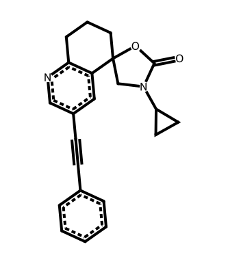 O=C1OC2(CCCc3ncc(C#Cc4ccccc4)cc32)CN1C1CC1